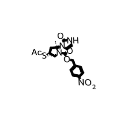 CC(=O)S[C@@H]1CN(C(=O)OCc2ccc([N+](=O)[O-])cc2)[C@](C)(n2cc[nH]c2=O)C1